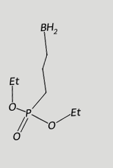 BCCCP(=O)(OCC)OCC